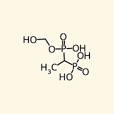 CC(P(=O)(O)O)P(=O)(O)OCO